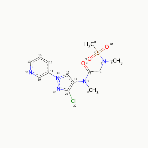 CN(C(=O)CN(C)S(C)(=O)=O)c1cn(-c2cccnc2)nc1Cl